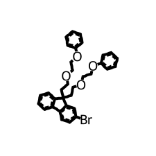 Brc1ccc2c(c1)C(CCOCCOc1ccccc1)(CCOCCOc1ccccc1)c1ccccc1-2